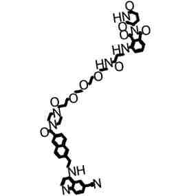 N#Cc1ccc2nccc(NCCc3ccc4cc(C(=O)N5CCN(C(=O)CCOCCOCCOCCNC(=O)CCNc6cccc7c6C(=O)N(C6CCC(=O)NC6=O)C7=O)CC5)ccc4c3)c2c1